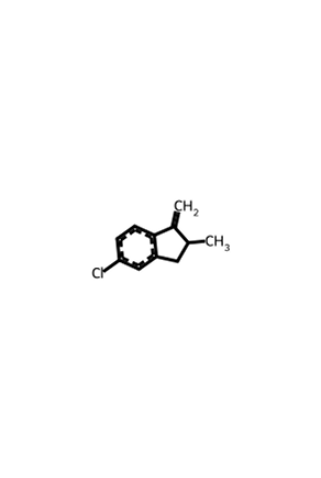 C=C1c2ccc(Cl)cc2CC1C